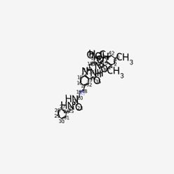 Cc1cc(C)c(S(=O)(=O)N[C@@H](Cc2nc3ccc(/C=C/CNC(=O)NCc4ccccc4)cc3c(=O)[nH]2)C(=O)O)c(C)c1